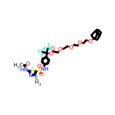 CC(=O)Nc1nc(C)c(S(=O)(=O)Nc2ccc(C(OC(=O)COCCOCCOCCOC34CC5CC(C3)C(C5)C4)(C(F)(F)F)C(F)(F)F)cc2)s1